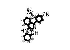 CCOCOc1cc(C#N)ccc1-c1nnc(N[C@@H]2CCCC[C@H]2O)c2c1CCCC2